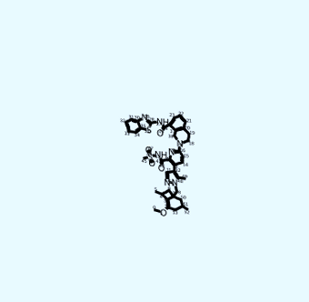 COC1=C2C(C)CC2(Cn2ncc(-c3ccc(N4CCc5cccc(C(=O)Nc6nc7ccccc7s6)c5C4)nc3C(=O)NS(C)(=O)=O)c2C)CC(C)C1